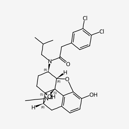 CC(C)CN(C(=O)Cc1ccc(Cl)c(Cl)c1)[C@@H]1CC[C@@]2(O)[C@H]3Cc4ccc(O)c5c4[C@@]2(CCN3C)[C@H]1O5